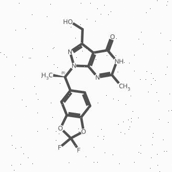 Cc1nc2c(c(CO)nn2[C@H](C)c2ccc3c(c2)OC(F)(F)O3)c(=O)[nH]1